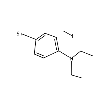 CCN(CC)c1cc[c]([Sn])cc1.CI